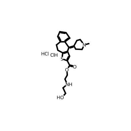 CN1CCC(=C2c3ccccc3CCc3sc(C(=O)OCCNCCO)cc32)CC1.Cl.Cl